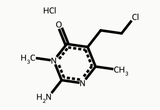 Cc1nc(N)n(C)c(=O)c1CCCl.Cl